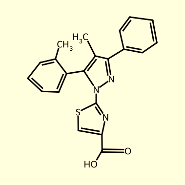 Cc1ccccc1-c1c(C)c(-c2ccccc2)nn1-c1nc(C(=O)O)cs1